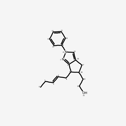 CC/C=C/CC1c2nn(-c3ccccc3)cc2CC1CCO